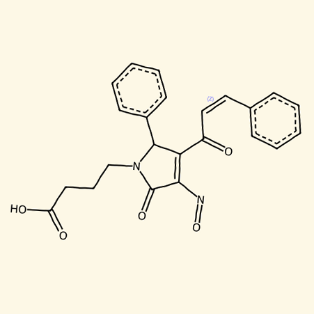 O=NC1=C(C(=O)/C=C\c2ccccc2)C(c2ccccc2)N(CCCC(=O)O)C1=O